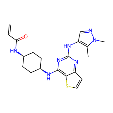 C=CC(=O)N[C@H]1CC[C@@H](Nc2nc(Nc3cnn(C)c3C)nc3ccsc23)CC1